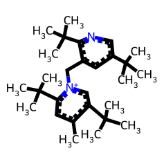 Cc1cc(C(C)(C)C)[n+](Cc2cc(C(C)(C)C)cnc2C(C)(C)C)cc1C(C)(C)C